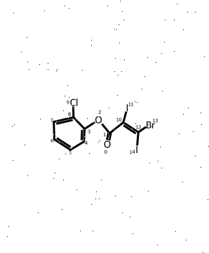 O=C(Oc1ccccc1Cl)C(I)=C(Br)I